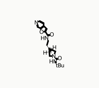 CC(C)(C)NC(=O)N1C[C@@H]2[C@@H](CCNC(=O)c3cc4ccncc4o3)[C@@H]2C1